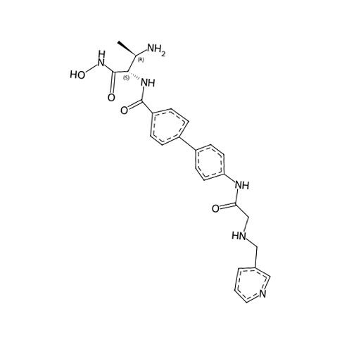 C[C@@H](N)[C@H](NC(=O)c1ccc(-c2ccc(NC(=O)CNCc3cccnc3)cc2)cc1)C(=O)NO